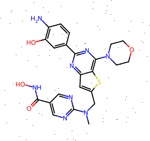 CN(Cc1cc2nc(-c3ccc(N)c(O)c3)nc(N3CCOCC3)c2s1)c1ncc(C(=O)NO)cn1